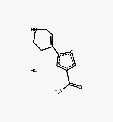 Cl.NC(=O)c1coc(C2=CCNCC2)n1